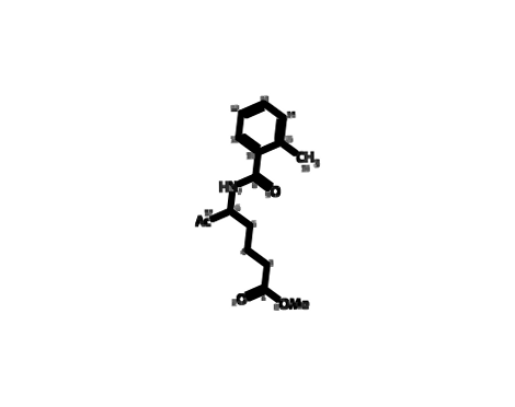 COC(=O)CCCC(NC(=O)c1ccccc1C)C(C)=O